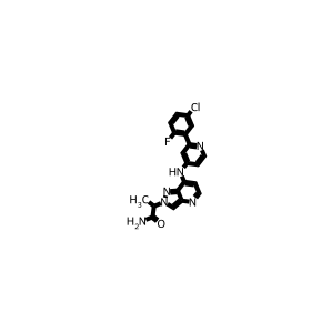 CC(C(N)=O)n1cc2nccc(Nc3ccnc(-c4cc(Cl)ccc4F)c3)c2n1